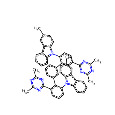 Cc1ccc2c(c1)c1ccccc1n2-c1ccc(-c2nc(C)nc(C)n2)cc1-c1cccc(-c2c(-c3nc(C)nc(C)n3)cccc2-n2c3ccccc3c3cc(C)ccc32)c1